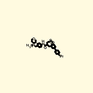 CC(C)c1ccc(-c2ccc3c(c2)C=C(C(=O)Nc2ccc(CN(C)C4CCOCC4)cc2)CCS3(=O)=O)cc1